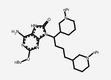 CCCCOc1nc(N)c2[nH]c(=O)n(C(CCCC3CCCN(CCC)C3)C3CCCN(CCC)C3)c2n1